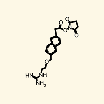 N=C(N)NCCOCc1ccc2cc(CC(=O)ON3C(=O)CCC3=O)ccc2c1